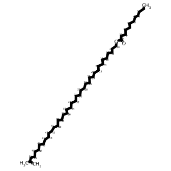 CCCCCCCCCCCC(=O)OCCCCCCCCCCCCCCCCCCCCCCCCCCCCCCCCCCCCCCC(C)C